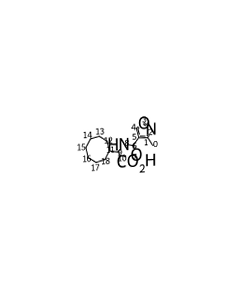 Cc1nocc1C(=O)NC(C(=O)O)C1CCCCCCC1